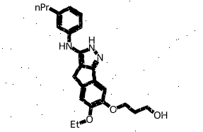 CCCc1cccc(Nc2[nH]nc3c2Cc2cc(OCC)c(OCCCO)cc2-3)c1